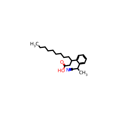 CCCCCCCCCC(CC(=O)O)c1ccccc1C(C)C#N